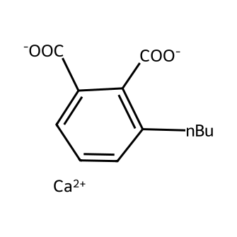 CCCCc1cccc(C(=O)[O-])c1C(=O)[O-].[Ca+2]